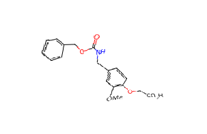 COc1cc(CNC(=O)OCc2ccccc2)ccc1OCC(=O)O